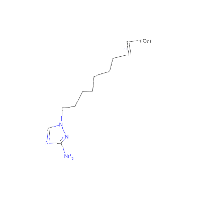 CCCCCCCC/C=C/CCCCCCCn1cnc(N)n1